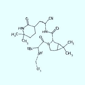 CC1(C)CCC(CC(C#N)NC(=O)C2C3C(CN2C(=O)C(NCC(F)(F)F)C(C)(C)C)C3(C)C)C(=O)N1